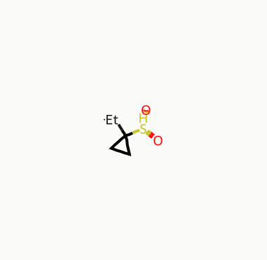 C[CH]C1([SH](=O)=O)CC1